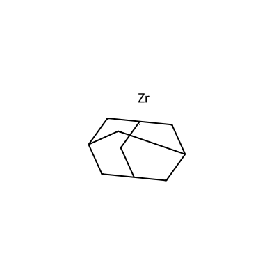 C1[C]2CC3CC1CC(C2)C3.[Zr]